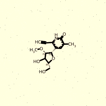 C#Cc1[nH]c(=O)c(C)cc1[C@@H]1O[C@H](CO)C(O)[C@@H]1OC